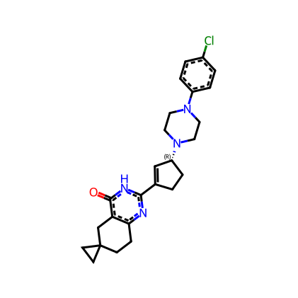 O=c1[nH]c(C2=C[C@H](N3CCN(c4ccc(Cl)cc4)CC3)CC2)nc2c1CC1(CC2)CC1